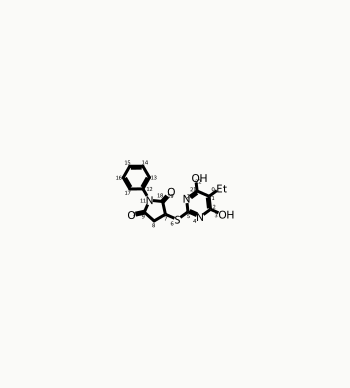 CCc1c(O)nc(SC2CC(=O)N(c3ccccc3)C2=O)nc1O